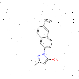 Cc1cc(O)n(-c2ccc3cc(S(=O)(=O)O)ccc3c2)n1